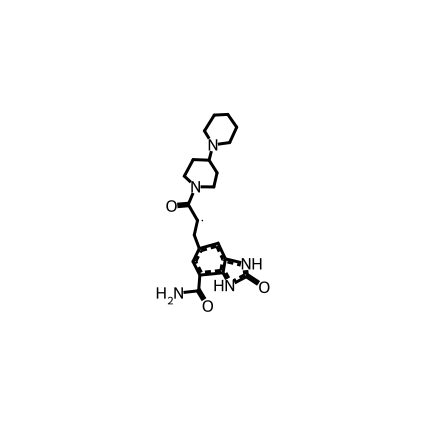 NC(=O)c1cc(C[CH]C(=O)N2CCC(N3CCCCC3)CC2)cc2[nH]c(=O)[nH]c12